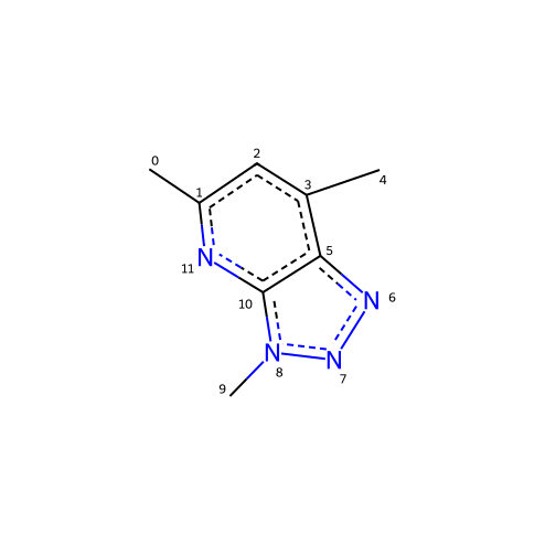 Cc1cc(C)c2nnn(C)c2n1